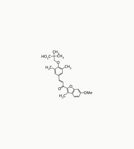 COc1ccc2c(C)c(C(=O)/C=C/c3cc(C)c(OCC(C)(C)C(=O)O)c(C)c3)oc2c1